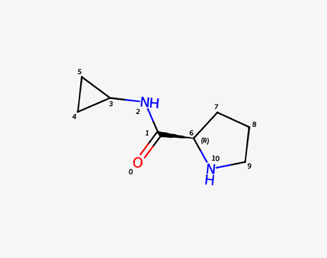 O=C(NC1CC1)[C@H]1CCCN1